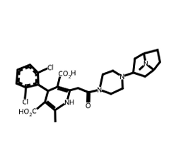 CC1=C(C(=O)O)C(c2c(Cl)cccc2Cl)C(C(=O)O)=C(CC(=O)N2CCN(C3CC4CCC(C3)N4C)CC2)N1